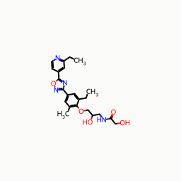 CCc1cc(-c2nc(-c3cc(C)c(OCC(O)CNC(=O)CO)c(CC)c3)no2)ccn1